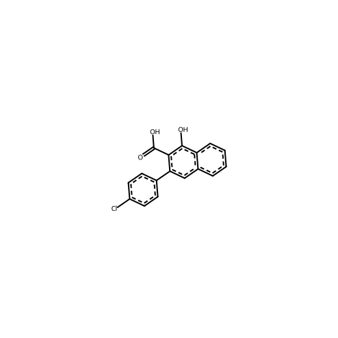 O=C(O)c1c(-c2ccc(Cl)cc2)cc2ccccc2c1O